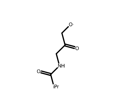 CC(C)C(=O)NCC(=O)C[O]